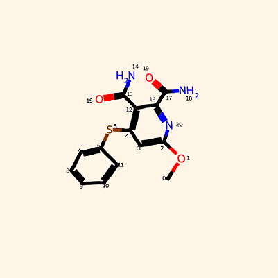 COc1cc(Sc2ccccc2)c(C(N)=O)c(C(N)=O)n1